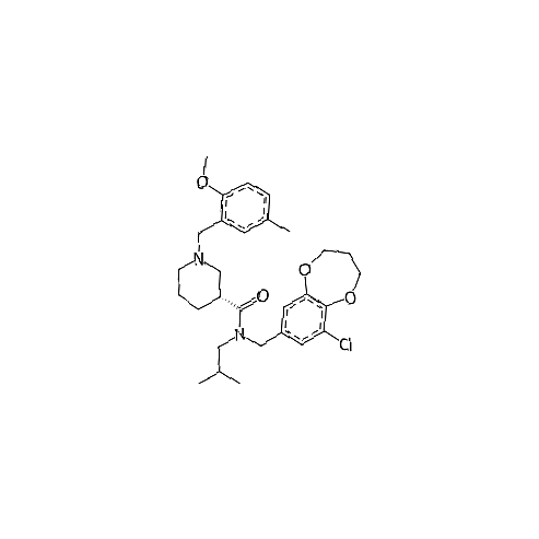 COc1ccc(C)cc1CN1CCC[C@@H](C(=O)N(Cc2cc(Cl)c3c(c2)OCCCO3)CC(C)C)C1